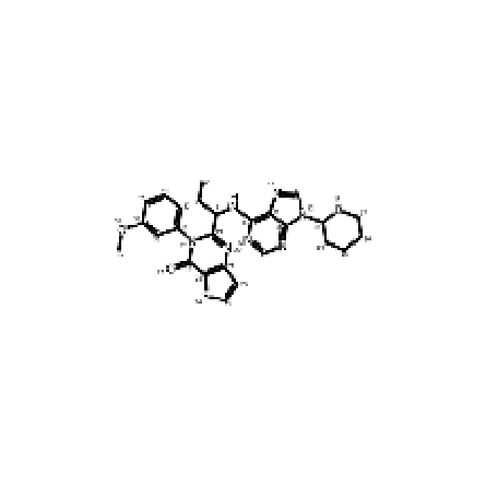 CCC(Nc1ncnc2c1ncn2C1CCCCO1)c1nc2ccsc2c(=O)n1-c1cccc(OC)c1